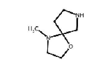 CN1CCOC12CCNC2